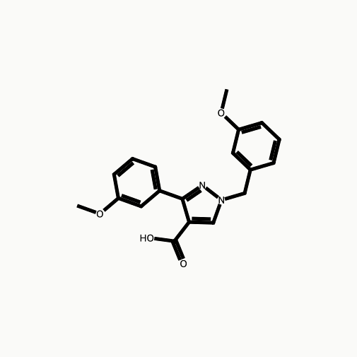 COc1cccc(Cn2cc(C(=O)O)c(-c3cccc(OC)c3)n2)c1